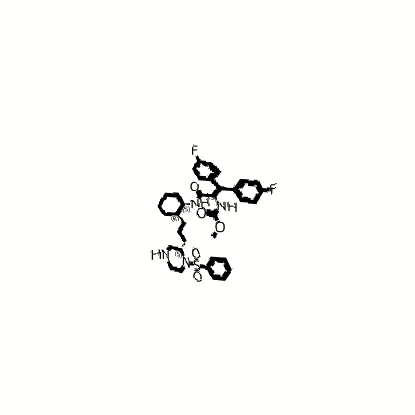 COC(=O)N[C@H](C(=O)N[C@H]1CCCC[C@@H]1CCC[C@H]1CNCCN1S(=O)(=O)c1ccccc1)C(c1ccc(F)cc1)c1ccc(F)cc1